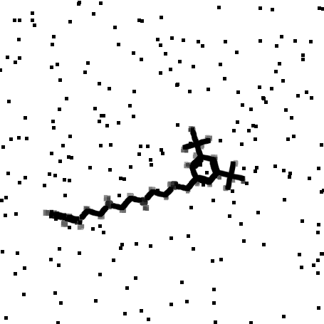 CC(C)(C)c1cc(COCCOCCOCCN=[N+]=[N-])cc(C(C)(C)C)c1